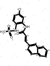 CS(=O)(=O)Nc1ccc(Cl)cc1NC(=O)C=Cc1ccc2ccccc2c1